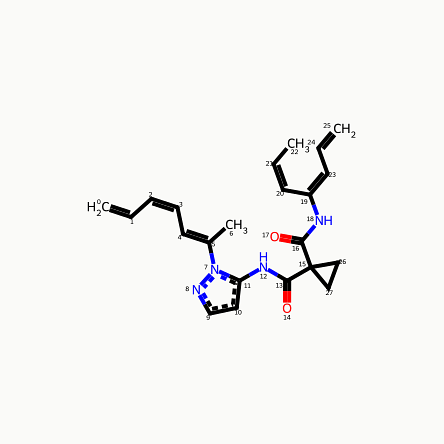 C=C/C=C\C=C(/C)n1nccc1NC(=O)C1(C(=O)NC(/C=C\C)=C/C=C)CC1